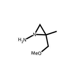 COCC1(C)CN1N